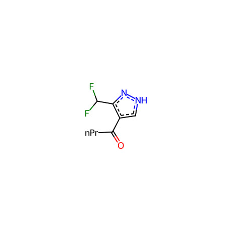 CCCC(=O)c1c[nH]nc1C(F)F